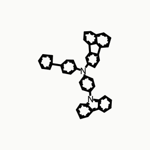 c1ccc(-c2ccc(N(c3ccc(-n4c5ccccc5c5ccccc54)cc3)c3ccc4c(c3)-c3cccc5cccc-4c35)cc2)cc1